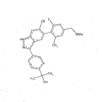 CNCc1cc(C)c(-c2cc3c(-c4ccc(C(C)(C)O)nc4)n[nH]c3cc2C#N)c(F)c1